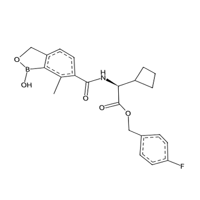 Cc1c(C(=O)N[C@H](C(=O)OCc2ccc(F)cc2)C2CCC2)ccc2c1B(O)OC2